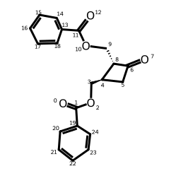 O=C(OC[C@@H]1CC(=O)[C@H]1COC(=O)c1ccccc1)c1ccccc1